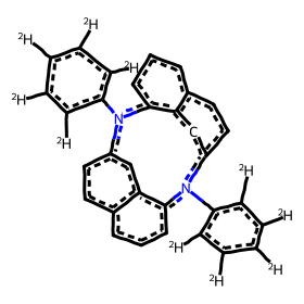 [2H]c1c([2H])c([2H])c(-n2c3ccc4cccc(c4c3)n(-c3c([2H])c([2H])c([2H])c([2H])c3[2H])c3ccc4cccc2c4c3)c([2H])c1[2H]